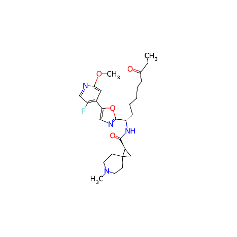 CCC(=O)CCCCC[C@H](NC(=O)[C@H]1CC12CCN(C)CC2)c1ncc(-c2cc(OC)ncc2F)o1